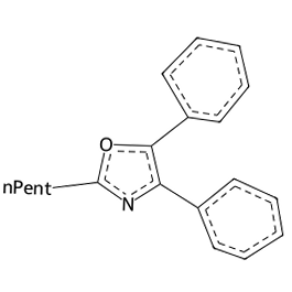 CCCCCc1nc(-c2ccccc2)c(-c2ccccc2)o1